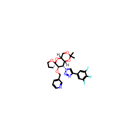 CC1(C)OC[C@H]2O[C@@]3(CCCO3)[C@H](OCc3cccnc3)[C@@H](n3cc(-c4cc(F)c(F)c(F)c4)nn3)[C@H]2O1